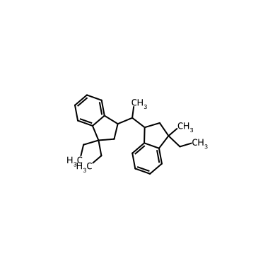 CCC1(C)CC(C(C)C2CC(CC)(CC)c3ccccc32)c2ccccc21